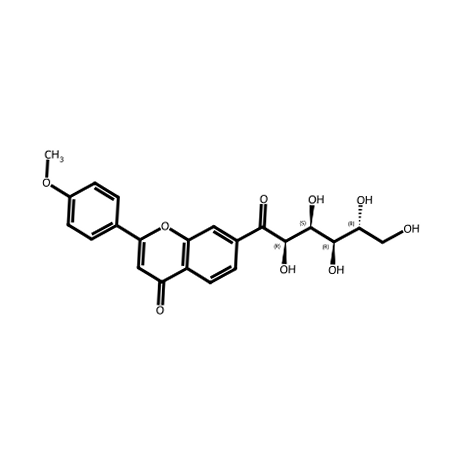 COc1ccc(-c2cc(=O)c3ccc(C(=O)[C@H](O)[C@@H](O)[C@H](O)[C@H](O)CO)cc3o2)cc1